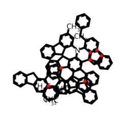 Cc1cc2c(c(-c3ccc4c(c3-c3c(C)c(C)cc5c3Cc3ccccc3-5)-c3c(c(N(c5c(Cc6ccccc6)ccc6c5Cc5ccccc5-6)c5c(C)c(C)cc6c5Cc5ccccc5-6)c(-c5ccccc5)c(-c5ccccc5)c3-c3c5c(cc(-c6ccccc6)c3-c3ccccc3)-c3ccccc3C5)C4)c1C)Cc1ccccc1-2